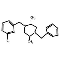 C[C@@H]1CN([CH]c2ccccc2)[C@@H](C)CN1Cc1cccc(Cl)c1